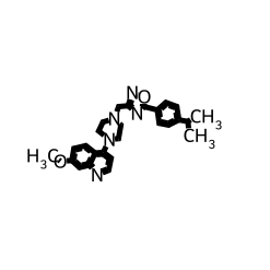 COc1ccc2c(N3CCN(Cc4noc(-c5ccc(C(C)C)cc5)n4)CC3)ccnc2c1